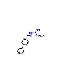 CC(=O)ONC(=N)NN=Cc1ccc(-c2ccccc2)cc1